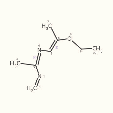 C=N/C(C)=N\C=C(/C)OCC